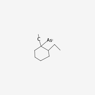 CCC1CCCCC1([As])CC